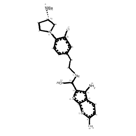 CN[C@H]1CCN(c2ccc(CCNC(O)c3sc4nc(C)ccc4c3N)cc2Cl)C1